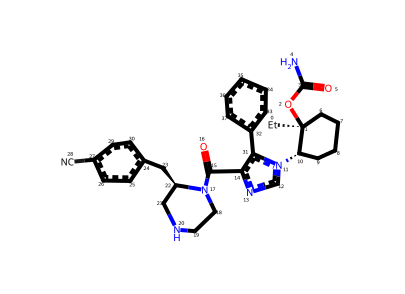 CC[C@]1(OC(N)=O)CCCC[C@@H]1n1cnc(C(=O)N2CCNC[C@H]2Cc2ccc(C#N)cc2)c1-c1ccccc1